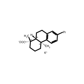 CC(C)c1ccc2c(c1)CC[C@H]1[C@@](C)(C(=O)[O-])CCC[C@]21C.[K+]